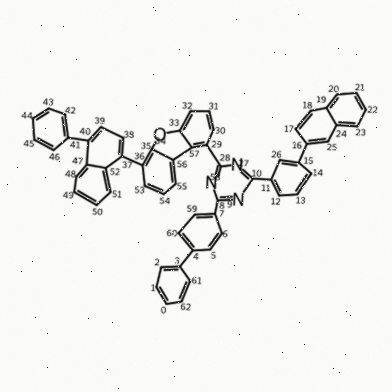 c1ccc(-c2ccc(-c3nc(-c4cccc(-c5ccc6ccccc6c5)c4)nc(-c4cccc5oc6c(-c7ccc(-c8ccccc8)c8ccccc78)cccc6c45)n3)cc2)cc1